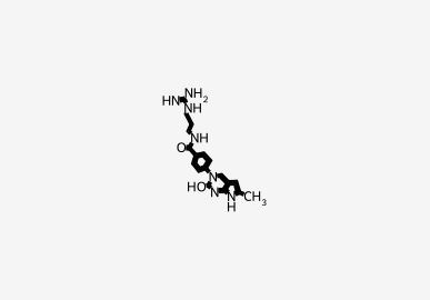 Cc1cc2c([nH]1)=NC(O)N(c1ccc(C(=O)NCCCNC(=N)N)cc1)C=2